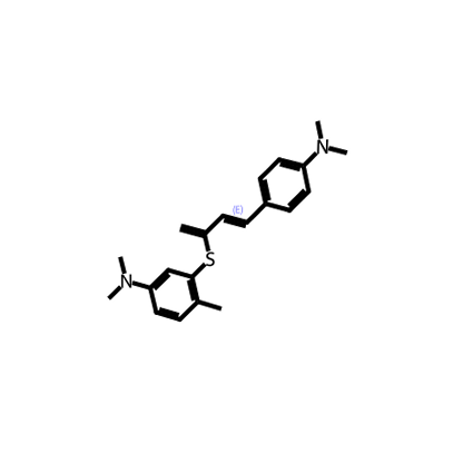 C=C(/C=C/c1ccc(N(C)C)cc1)Sc1cc(N(C)C)ccc1C